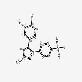 CS(=O)(=O)c1ccc(-n2nc(C(F)(F)F)nc2-c2ccc(F)c(F)c2)nn1